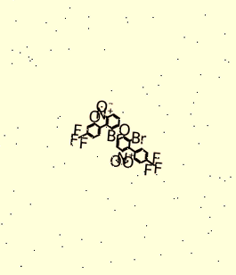 O=[N+]([O-])c1ccc(Oc2ccc([N+](=O)[O-])c(-c3ccc(C(F)(F)F)cc3)c2Br)c(Br)c1-c1ccc(C(F)(F)F)cc1